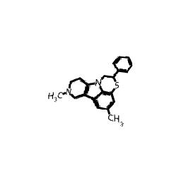 Cc1cc2c3c(c1)c1c(n3CC(c3ccccc3)S2)CCN(C)C1